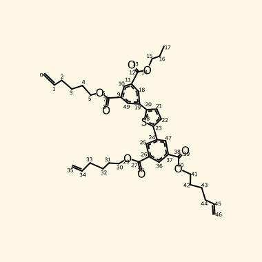 C=CCCCCOC(=O)c1cc(C(=O)OCCC)cc(-c2ccc(-c3cc(C(=O)OCCCCC=C)cc(C(=O)OCCCCC=C)c3)s2)c1